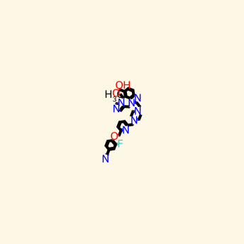 CCn1cncc1Cn1c(CN2CCN(Cc3cccc(COc4ccc(C#N)cc4F)n3)CC2)nc2ccc(C(=O)O)cc21